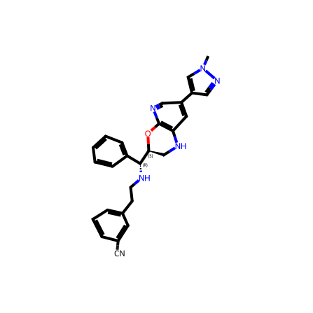 Cn1cc(-c2cnc3c(c2)NC[C@@H]([C@H](NCCc2cccc(C#N)c2)c2ccccc2)O3)cn1